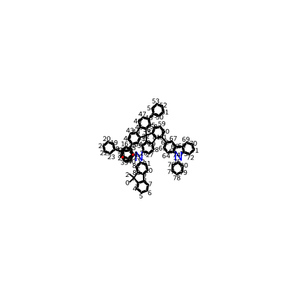 CC1(C)c2ccccc2-c2ccc(N(c3ccc(-c4ccccc4)cc3)c3ccc4c(c3)C3(c5cc(-c6ccccc6)ccc5-c5ccc(-c6ccccc6)cc53)c3cccc(-c5ccc6c(c5)c5ccccc5n6-c5ccccc5)c3-4)cc21